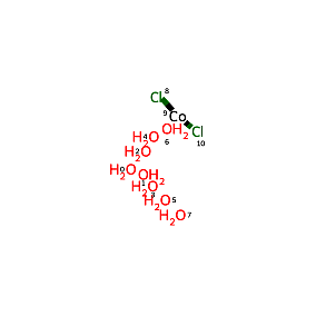 O.O.O.O.O.O.O.O.[Cl][Co][Cl]